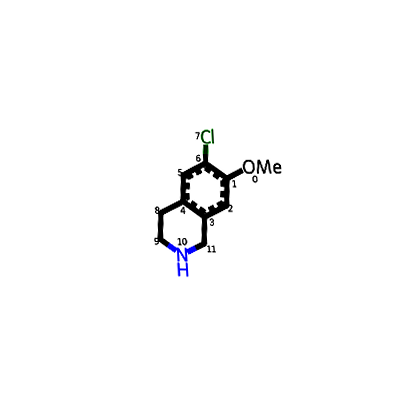 COc1cc2c(cc1Cl)CCNC2